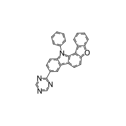 c1ccc(-n2c3ccc(-c4ncncn4)cc3c3ccc4oc5ccccc5c4c32)cc1